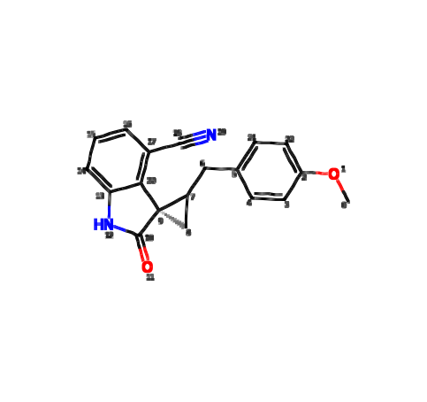 COc1ccc(CC2C[C@@]23C(=O)Nc2cccc(C#N)c23)cc1